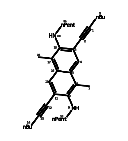 CCCCC#Cc1cc2c(C)c(NCCCCC)c(C#CCCCC)cc2c(C)c1NCCCCC